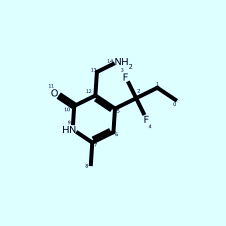 CCC(F)(F)c1cc(C)[nH]c(=O)c1CN